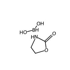 O=C1NCCO1.OBO